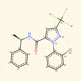 C[C@@H](NC(=O)c1cc(C(F)(F)F)nn1-c1ccccc1Cl)c1ccccc1